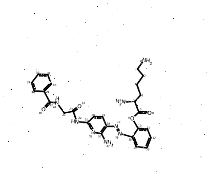 NCCCC[C@H](N)C(=O)Oc1ccccc1/N=N/c1ccc(NC(=O)CNC(=O)c2ccccc2)nc1N